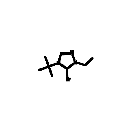 CCN1N=CN(C(C)(C)C)C1Br